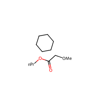 C1CCCCC1.CCCOC(=O)COC